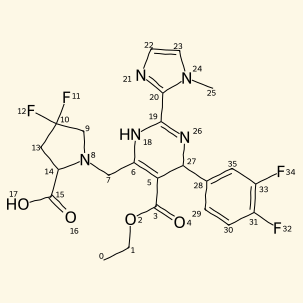 CCOC(=O)C1=C(CN2CC(F)(F)CC2C(=O)O)NC(c2nccn2C)=NC1c1ccc(F)c(F)c1